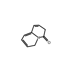 O=C1CC=CC2=CC=CCN12